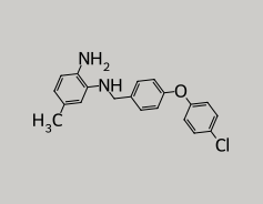 Cc1ccc(N)c(NCc2ccc(Oc3ccc(Cl)cc3)cc2)c1